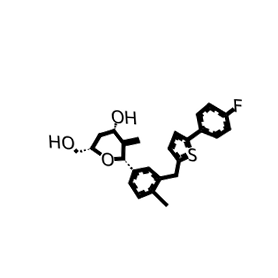 C=C1[C@H](c2ccc(C)c(Cc3ccc(-c4ccc(F)cc4)s3)c2)O[C@H](CO)C[C@@H]1O